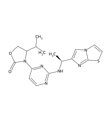 CC(C)C1COC(=O)N1c1ccnc(N[C@@H](C)c2cn3ccsc3n2)n1